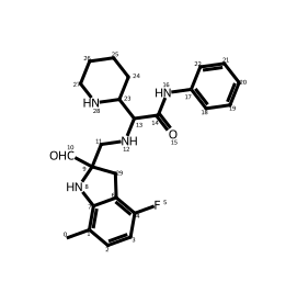 Cc1ccc(F)c2c1NC(C=O)(CNC(C(=O)Nc1ccccc1)C1CCCCN1)C2